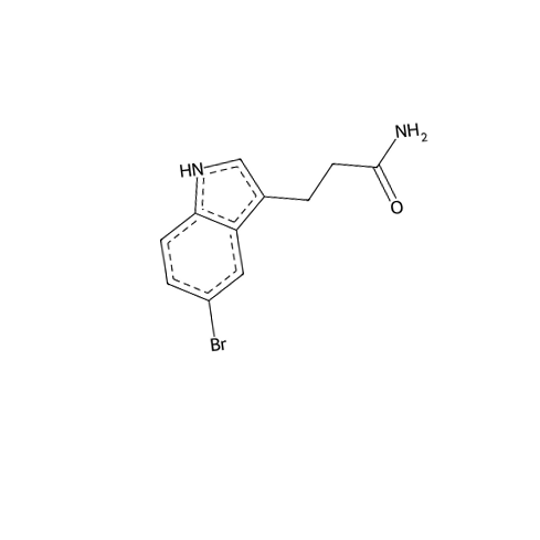 NC(=O)CCc1c[nH]c2ccc(Br)cc12